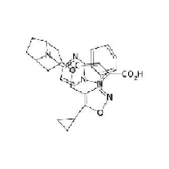 O=C(O)c1cc2nc(N3C4CCC3CC(OCc3c(-c5ccccc5C(F)(F)F)noc3C3CC3)C4)ccn2n1